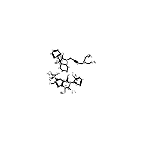 CCN(CC)CC#CCOC(=O)C(O)(c1ccccc1)C1CCCCC1.Cc1ccccc1N1C(=O)c2cc(S(N)(=O)=O)c(Cl)cc2NC1C.Cl